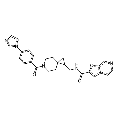 O=C(NCC1CC12CCN(C(=O)c1ccc(-n3cncn3)cc1)CC2)c1cc2ccncc2o1